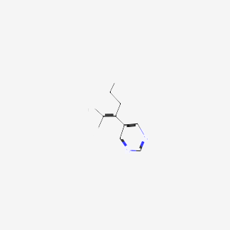 CCCC(=C(C)C)c1cncnc1